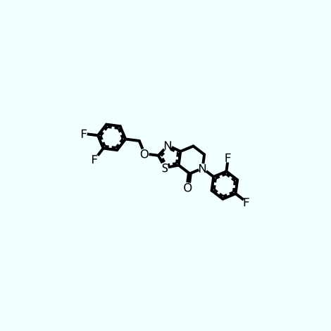 O=C1c2sc(OCc3ccc(F)c(F)c3)nc2CCN1c1ccc(F)cc1F